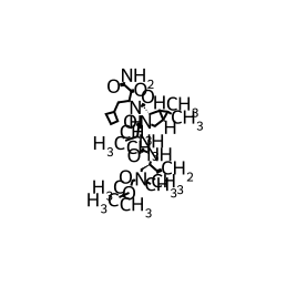 C=C(C)[C@@H](CN(C)C(=O)OC(C)(C)C)NC(=O)N[C@H](C(=O)N1C[C@H]2[C@@H]([C@H]1C(=O)NC(CC1CCC1)C(=O)C(N)=O)C2(C)C)C(C)(C)C